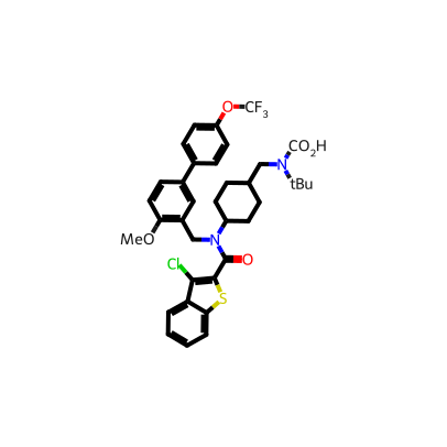 COc1ccc(-c2ccc(OC(F)(F)F)cc2)cc1CN(C(=O)c1sc2ccccc2c1Cl)C1CCC(CN(C(=O)O)C(C)(C)C)CC1